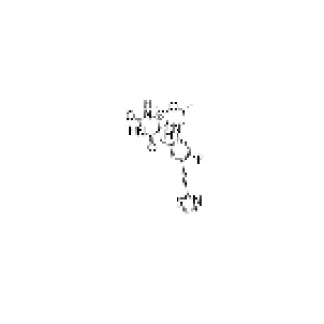 C[C@@H]1CN2c3cc(F)c(C#Cc4nccs4)cc3CC3(C(=O)NC(=O)NC3=O)[C@H]2[C@H](C)O1